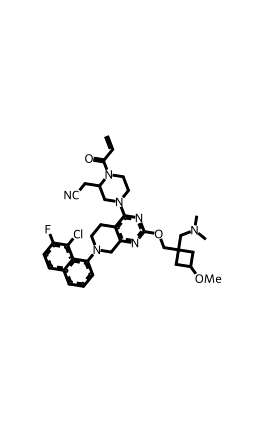 C=CC(=O)N1CCN(c2nc(OCC3(CN(C)C)CC(OC)C3)nc3c2CCN(c2cccc4ccc(F)c(Cl)c24)C3)CC1CC#N